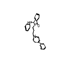 O=C1c2ccccc2C(Nc2ccccc2)N1CCCN1CC=C(c2ccccc2)CC1